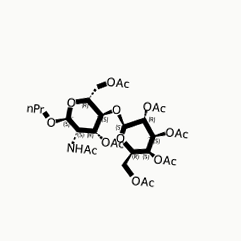 CCCO[C@H]1O[C@H](COC(C)=O)[C@@H](O[C@@H]2O[C@H](COC(C)=O)[C@H](OC(C)=O)[C@H](OC(C)=O)[C@H]2OC(C)=O)[C@H](OC(C)=O)[C@@H]1NC(C)=O